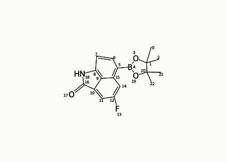 CC1(C)OB(c2ccc3c4c(cc(F)cc24)C(=O)N3)OC1(C)C